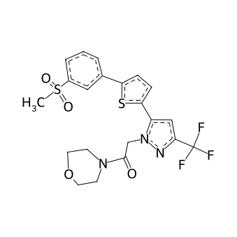 CS(=O)(=O)c1cccc(-c2ccc(-c3cc(C(F)(F)F)nn3CC(=O)N3CCOCC3)s2)c1